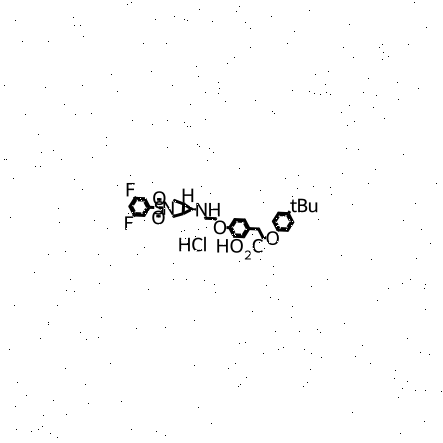 CC(C)(C)c1ccc(O[C@@H](Cc2ccc(OCCN[C@H]3C4CN(S(=O)(=O)c5cc(F)cc(F)c5)C[C@@H]43)cc2)C(=O)O)cc1.Cl